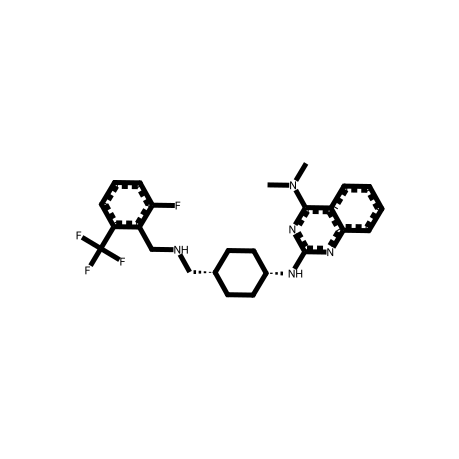 CN(C)c1nc(N[C@H]2CC[C@@H](CNCc3c(F)cccc3C(F)(F)F)CC2)nc2ccccc12